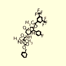 C[C@@H](O[C@H]1CN2C(=O)CC(NC(=O)C(C)(C)NC(=O)OCc3ccccc3)C[C@H]2C1c1ccc(F)cc1)c1cc(C(F)(F)F)cc(C(F)(F)F)c1